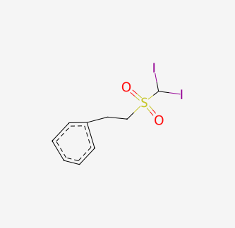 O=S(=O)(CCc1ccccc1)C(I)I